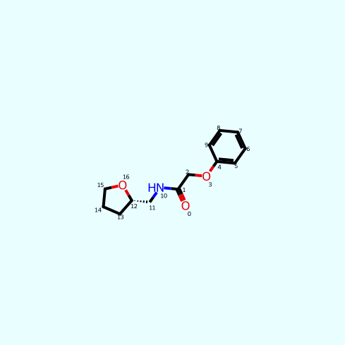 O=C(COc1ccccc1)NC[C@@H]1CCCO1